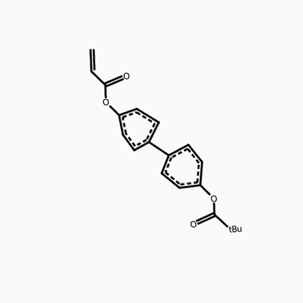 C=CC(=O)Oc1ccc(-c2ccc(OC(=O)C(C)(C)C)cc2)cc1